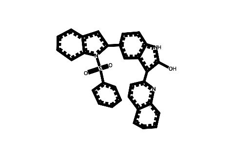 O=S(=O)(c1ccccc1)n1c(-c2ccc3[nH]c(O)c(-c4ccc5ccccc5n4)c3c2)cc2ccccc21